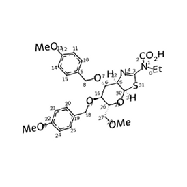 CCN(C(=O)O)C1=N[C@@H]2[C@@H](OCc3ccc(OC)cc3)[C@H](OCc3ccc(OC)cc3)[C@@H](COC)O[C@@H]2S1